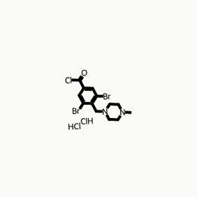 CN1CCN(Cc2c(Br)cc(C(=O)Cl)cc2Br)CC1.Cl.Cl